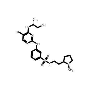 C[C@H](CO)Nc1nc(Nc2cccc(S(=O)(=O)NCCC3CCCN3C)c2)ncc1Br